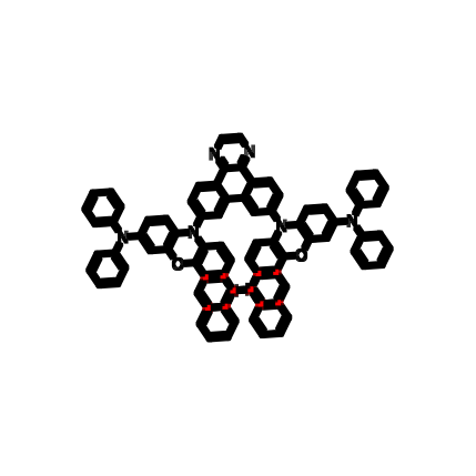 c1ccc(N(c2ccccc2)c2ccc3c(c2)Oc2cc(N(c4ccccc4)c4ccccc4)ccc2N3c2ccc3c(c2)c2cc(N4c5ccc(N(c6ccccc6)c6ccccc6)cc5Oc5cc(N(c6ccccc6)c6ccccc6)ccc54)ccc2c2nccnc32)cc1